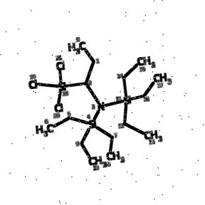 CCC(N([Si](CC)(CC)CC)[Si](CC)(CC)CC)[Si](Cl)(Cl)Cl